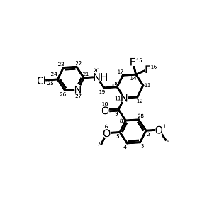 COc1ccc(OC)c(C(=O)N2CCC(F)(F)CC2CNc2ccc(Cl)cn2)c1